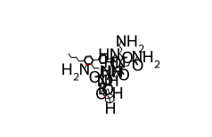 CCCCc1ccc(-c2ccc(C(=O)N[C@@H](CCN)C(=O)N[C@@H](CCC(N)=O)C(=O)N[C@@H](C)C(=O)N[C@@H](CCCCN)C(=O)N[C@@H](C)B3OC4C[C@@H]5C[C@@H](C5(C)C)[C@]4(C)O3)cc2)cc1